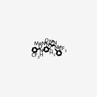 CNC(=O)N(c1cc(NCc2ccccc2C(F)(F)F)ncn1)c1cc(NC(=O)c2cccc(C(F)(F)F)c2)ccc1C